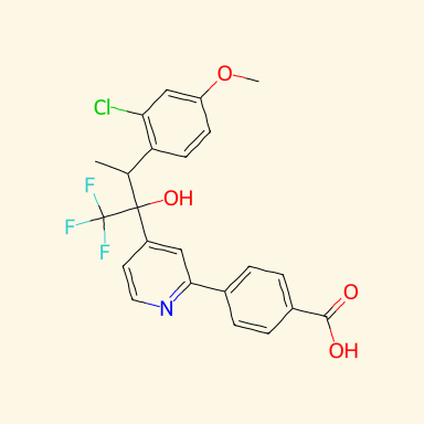 COc1ccc(C(C)C(O)(c2ccnc(-c3ccc(C(=O)O)cc3)c2)C(F)(F)F)c(Cl)c1